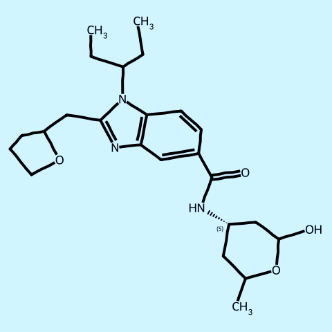 CCC(CC)n1c(CC2CCCO2)nc2cc(C(=O)N[C@H]3CC(C)OC(O)C3)ccc21